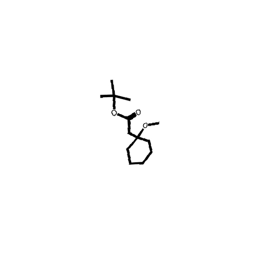 COC1(CC(=O)OC(C)(C)C)CCCCC1